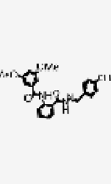 COc1cc(OC)cc(C(=O)Nc2ccccc2C(=O)NN=Cc2ccc(C)cc2)c1